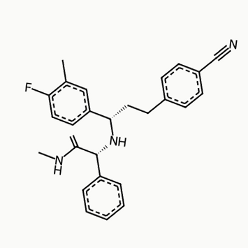 C=C(NC)[C@H](N[C@@H](CCc1ccc(C#N)cc1)c1ccc(F)c(C)c1)c1ccccc1